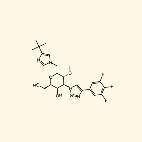 CO[C@@H]1[C@@H](n2cc(-c3cc(F)c(F)c(F)c3)nn2)[C@@H](O)[C@@H](CO)O[C@@H]1Cn1cnc(C(C)(C)C)c1